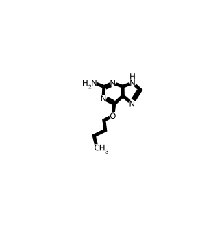 CCCCOC1=NC(N)=NC2NC=NC12